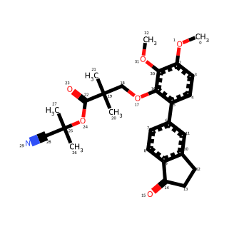 COc1ccc(-c2ccc3c(c2)CCC3=O)c(OCC(C)(C)C(=O)OC(C)(C)C#N)c1OC